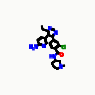 CCc1ncnc(-c2ccc(C(=O)NC3CCCN(C)C3)c(Cl)c2)c1-c1ccc(N)nc1